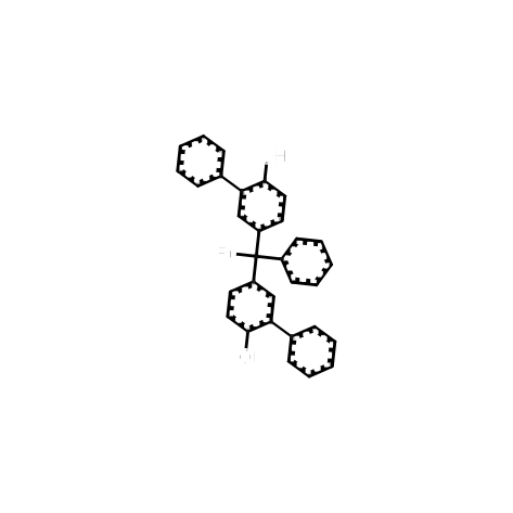 CCC(c1ccccc1)(c1ccc(O)c(-c2ccccc2)c1)c1ccc(O)c(-c2ccccc2)c1